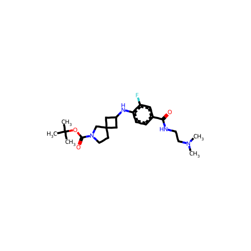 CN(C)CCNC(=O)c1ccc(NC2CC3(CCN(C(=O)OC(C)(C)C)C3)C2)c(F)c1